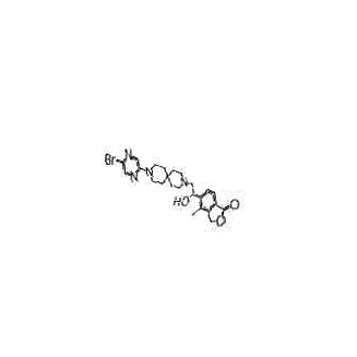 Cc1c(C(O)CN2CCC3(CC2)CCN(c2cnc(Br)cn2)CC3)ccc2c1COC2=O